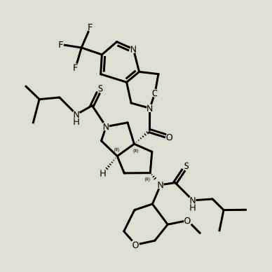 COC1COCCC1N(C(=S)NCC(C)C)[C@@H]1C[C@H]2CN(C(=S)NCC(C)C)C[C@@]2(C(=O)N2CCc3ncc(C(F)(F)F)cc3C2)C1